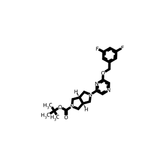 CC(C)(C)OC(=O)N1C[C@@H]2CN(c3cncc(OCc4cc(F)cc(F)c4)n3)C[C@@H]2C1